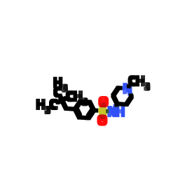 CN1CCC(NS(=O)(=O)c2ccc(CC(C)(C)C)cc2)CC1